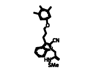 C=C(Cn1c(C#N)c(CCCOc2cc(C)c(C)c(C)c2)c2ccccc21)NSC